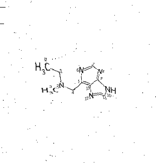 CCN(C)Cc1ncnc2[nH]cnc12